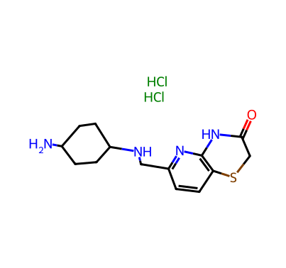 Cl.Cl.NC1CCC(NCc2ccc3c(n2)NC(=O)CS3)CC1